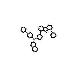 c1ccc(-c2ccc(N(c3cccc(-c4cccc5c4sc4c(-c6ccccc6)cccc45)c3)c3ccc4ccccc4c3)cc2)cc1